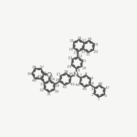 c1ccc(-c2ccc(N(c3ccc(-c4cccc5ccccc45)cc3)c3ccc(-c4cccc5c4oc4ccccc45)cc3)cc2)cc1